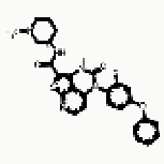 CN1CCC[C@@H](NC(=O)c2sc3nccc4c3c2NC(=O)N4c2ccc(Oc3ccccc3)cc2F)C1